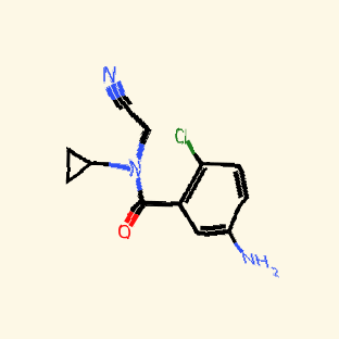 N#CCN(C(=O)c1cc(N)ccc1Cl)C1CC1